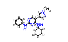 Cn1cc(-c2cnc(Nc3ccccc3)nc2NC2CCCCC2)cn1